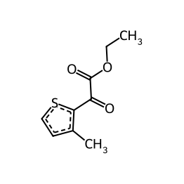 CCOC(=O)C(=O)c1sccc1C